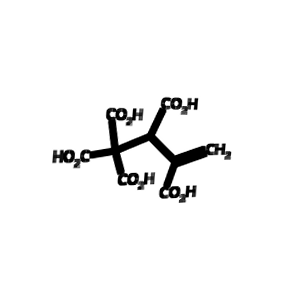 C=C(C(=O)O)C(C(=O)O)C(C(=O)O)(C(=O)O)C(=O)O